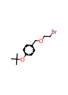 CC(C)(C)Oc1ccc(COCCBr)cc1